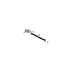 I[I-]I.[Nb]